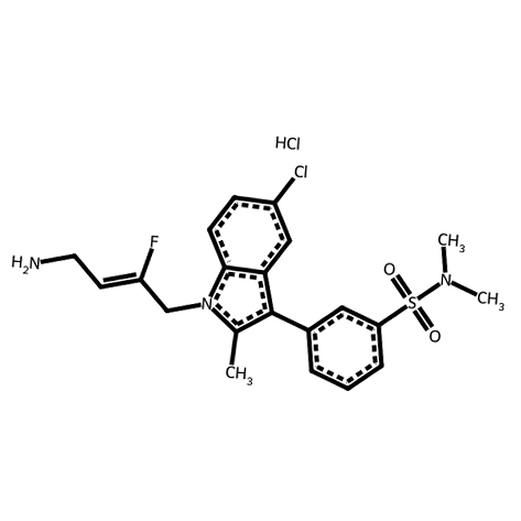 Cc1c(-c2cccc(S(=O)(=O)N(C)C)c2)c2cc(Cl)ccc2n1CC(F)=CCN.Cl